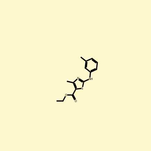 CCOC(=O)c1sc(Nc2cccc(C)c2)nc1C